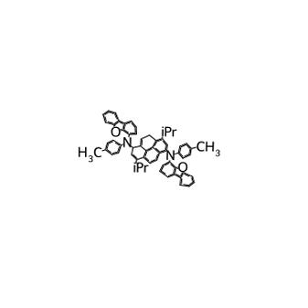 Cc1ccc(N(c2cc(C(C)C)c3c4c5c(ccc24)C(C(C)C)=CC(N(c2ccc(C)cc2)c2cccc4c2oc2ccccc24)C5=CC3)c2cccc3c2oc2ccccc23)cc1